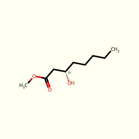 CCCCC[C@H](O)CC(=O)OC